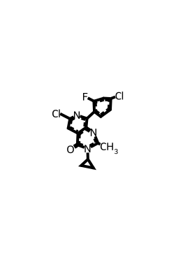 Cc1nc2c(-c3ccc(Cl)cc3F)nc(Cl)cc2c(=O)n1C1CC1